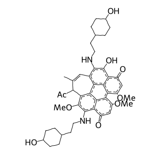 COc1c(NCCC2CCC(O)CC2)c2c(=O)cc(OC)c3c4c(OC)cc(=O)c5c(O)c(NCCC6CCC(O)CC6)c6c(c(c1C(C(C)=O)C(C)=C6)c23)c54